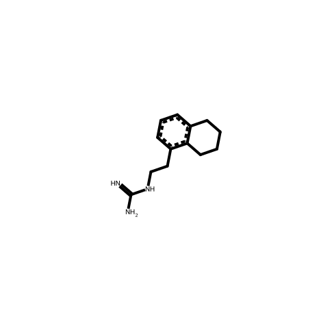 N=C(N)NCCc1cccc2c1CCCC2